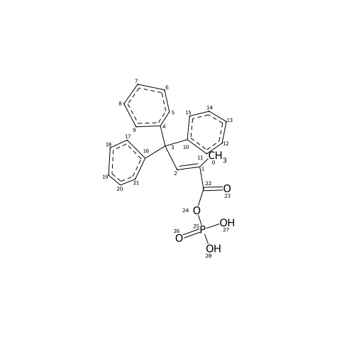 CC(=CC(c1ccccc1)(c1ccccc1)c1ccccc1)C(=O)OP(=O)(O)O